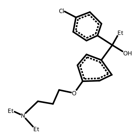 CCN(CC)CCCOc1ccc(C(O)(CC)c2ccc(Cl)cc2)cc1